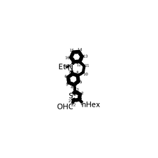 CCCCCCc1cc(-c2ccc3c(c2)CCc2ccccc2N3CC)sc1C=O